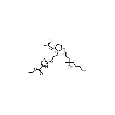 CCCCCC(C)(O)C/C=C/[C@H]1CC[C@H](OC(C)=O)[C@@H]1CCSc1nc(C(=O)OCC)cs1